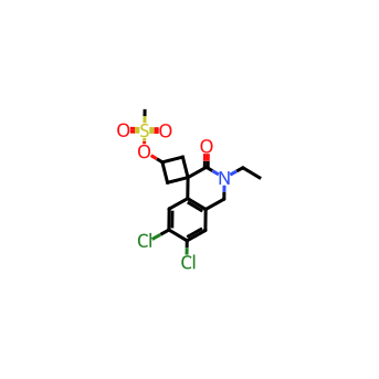 CCN1Cc2cc(Cl)c(Cl)cc2C2(CC(OS(C)(=O)=O)C2)C1=O